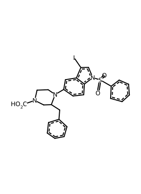 O=C(O)N1CCN(c2ccc3c(c2)c(I)cn3S(=O)(=O)c2ccccc2)C(Cc2ccccc2)C1